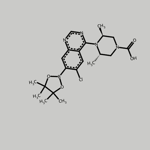 C[C@H]1CN(C(=O)O)C[C@H](C)N1c1ncnc2cc(B3OC(C)(C)C(C)(C)O3)c(Cl)cc12